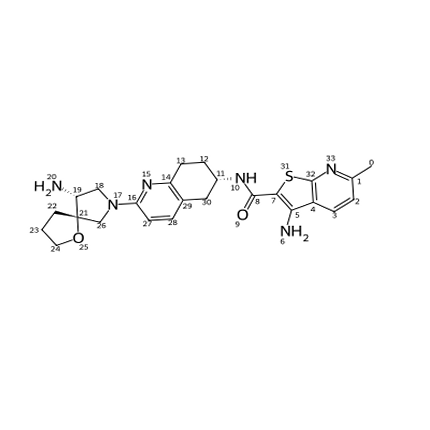 Cc1ccc2c(N)c(C(=O)N[C@H]3CCc4nc(N5C[C@@H](N)[C@]6(CCCO6)C5)ccc4C3)sc2n1